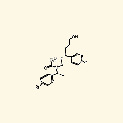 C[C@@H](c1ccc(Br)cc1)N(CC[C@H](CCCO)c1ccc(F)cc1)C(=O)O